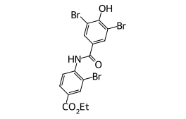 CCOC(=O)c1ccc(NC(=O)c2cc(Br)c(O)c(Br)c2)c(Br)c1